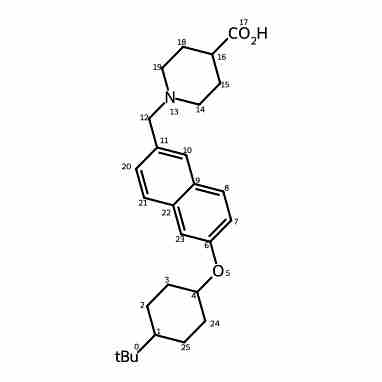 CC(C)(C)C1CCC(Oc2ccc3cc(CN4CCC(C(=O)O)CC4)ccc3c2)CC1